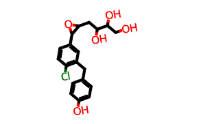 OCC(O)C(O)CC1OC1c1ccc(Cl)c(Cc2ccc(O)cc2)c1